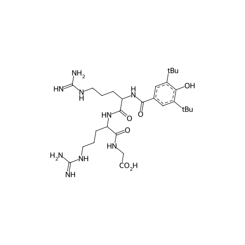 CC(C)(C)c1cc(C(=O)NC(CCCNC(=N)N)C(=O)NC(CCCNC(=N)N)C(=O)NCC(=O)O)cc(C(C)(C)C)c1O